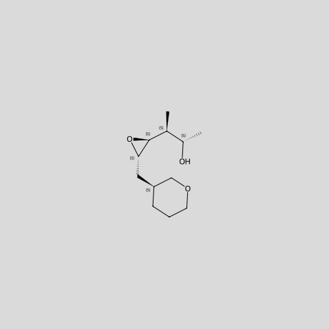 C[C@H]([C@@H]1O[C@H]1C[C@@H]1CCCOC1)[C@H](C)O